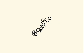 CCc1cc(C(=O)N2CCc3ccccc3C2C)nc2cc(-c3ccc(B4OC(C)(C)C(C)(C)O4)cc3F)nn12